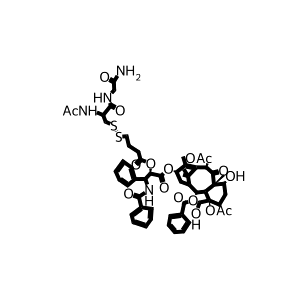 CC(=O)NC(CSSCCCC(=O)O[C@@H](C(=O)O[C@H]1CC2[C@@H](OC(=O)c3ccccc3)C3[C@@](CO)(OC(C)=O)CC[C@H](O)[C@@]3(C)C(=O)[C@H](OC(C)=O)C(=C1C)C2(C)C)C(NC(=O)c1ccccc1)c1ccccc1)C(=O)NCC(N)=O